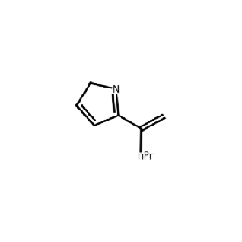 C=C(CCC)C1=NCC=C1